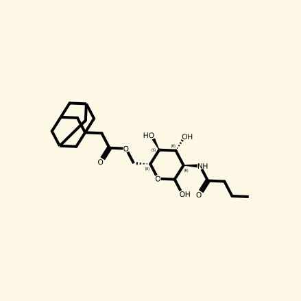 CCCC(=O)N[C@H]1C(O)O[C@H](COC(=O)CC23CC4CC(CC(C4)C2)C3)[C@@H](O)[C@@H]1O